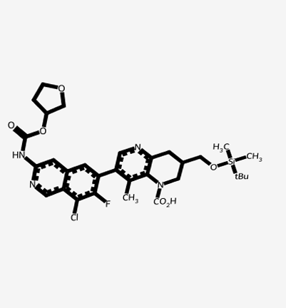 Cc1c(-c2cc3cc(NC(=O)OC4CCOC4)ncc3c(Cl)c2F)cnc2c1N(C(=O)O)CC(CO[Si](C)(C)C(C)(C)C)C2